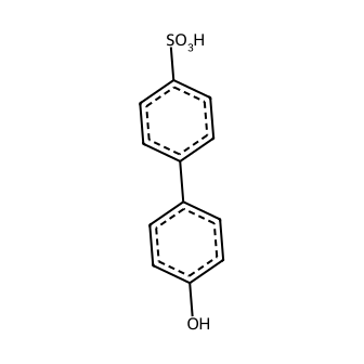 O=S(=O)(O)c1ccc(-c2ccc(O)cc2)cc1